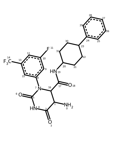 NC1C(=O)NC(=O)N(c2cc(F)cc(C(F)(F)F)c2)C1C(=O)NC1CCC(c2ccccc2)CC1